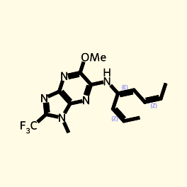 C\C=C/C=C(\C=C/C)Nc1nc2c(nc1OC)nc(C(F)(F)F)n2C